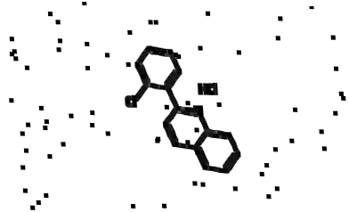 Cl.Clc1ccccc1-c1ccc2ccccc2n1